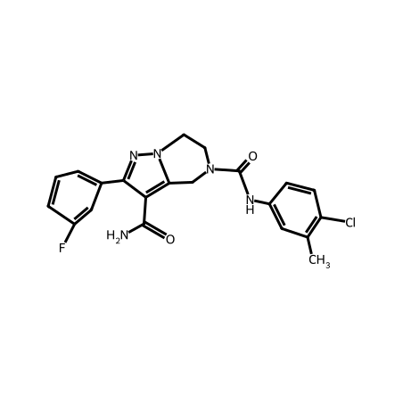 Cc1cc(NC(=O)N2CCn3nc(-c4cccc(F)c4)c(C(N)=O)c3C2)ccc1Cl